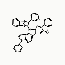 c1ccc(-n2ccc3c2ccc2c4cc5oc6ccccc6c5cc4n(C4C(c5cccnc5)n5c6ccccc6n54)c23)cc1